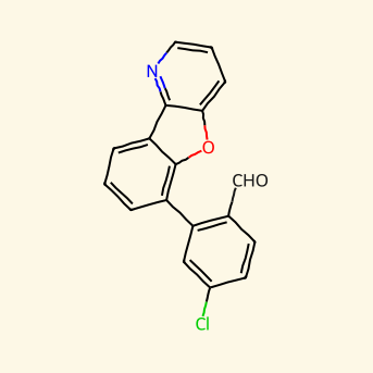 O=Cc1ccc(Cl)cc1-c1cccc2c1oc1cccnc12